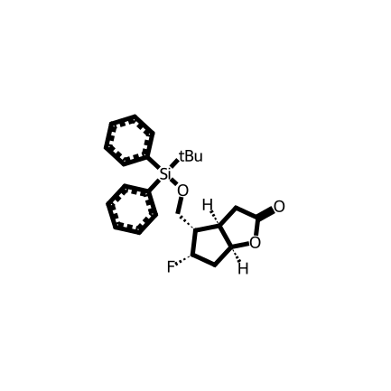 CC(C)(C)[Si](OC[C@@H]1[C@H]2CC(=O)O[C@H]2C[C@@H]1F)(c1ccccc1)c1ccccc1